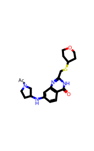 CC(=O)N1CCC(Nc2ccc3c(=O)[nH]c(CSC4CCOCC4)nc3c2)C1